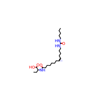 CCCCCNC(=O)NCCCC/C=C\CCCCCCC(=O)NC(CC)C(=O)O